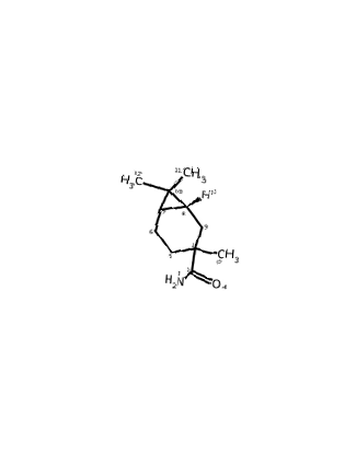 CC1(C(N)=O)CCC2[C@@H](C1)C2(C)C